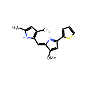 COC1=CC(c2cccs2)=N/C1=C\c1[nH]c(C)cc1C